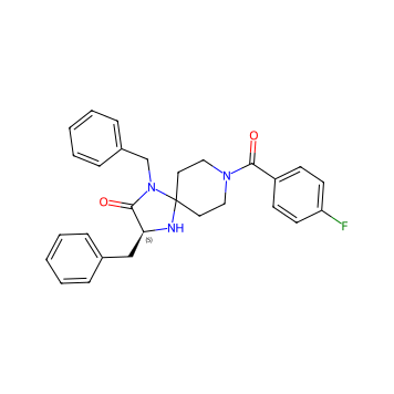 O=C(c1ccc(F)cc1)N1CCC2(CC1)N[C@@H](Cc1ccccc1)C(=O)N2Cc1ccccc1